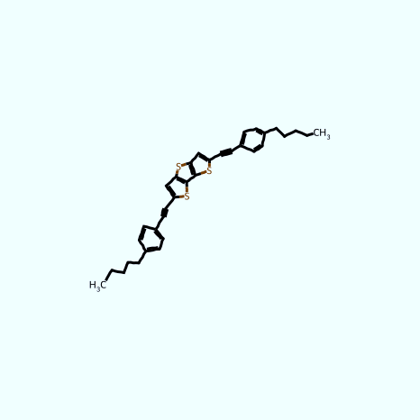 CCCCCc1ccc(C#Cc2cc3sc4cc(C#Cc5ccc(CCCCC)cc5)sc4c3s2)cc1